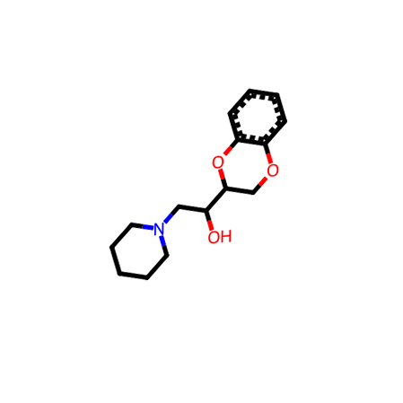 OC(CN1CCCCC1)C1COc2ccccc2O1